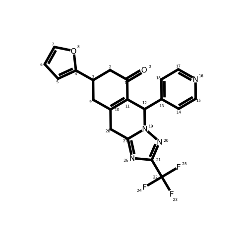 O=C1CC(c2ccco2)CC2=C1C(c1ccncc1)n1nc(C(F)(F)F)nc1C2